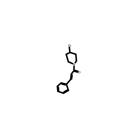 [CH2]CC1CCN(C(=O)C=Cc2ccccc2)CC1